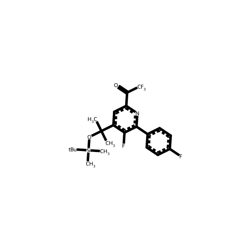 CC(C)(O[Si](C)(C)C(C)(C)C)c1cc(C(=O)C(F)(F)F)nc(-c2ccc(F)cc2)c1F